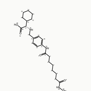 O=C(CCCCCCC(=O)Nc1ccc(CN[C@H](C(=O)O)C2CCCCC2)cc1)NO